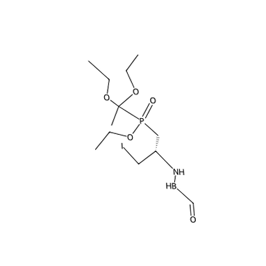 CCOC(C)(OCC)P(=O)(C[C@@H](CI)NBC=O)OCC